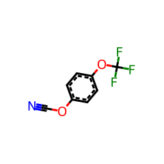 N#COc1ccc(OC(F)(F)F)cc1